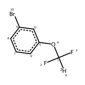 [2H]C(F)(F)Oc1cccc(Br)c1